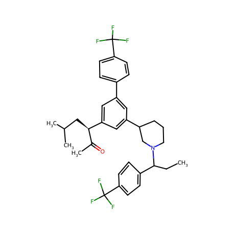 CCC(c1ccc(C(F)(F)F)cc1)N1CCCC(c2cc(-c3ccc(C(F)(F)F)cc3)cc([C@H](CC(C)C)C(C)=O)c2)C1